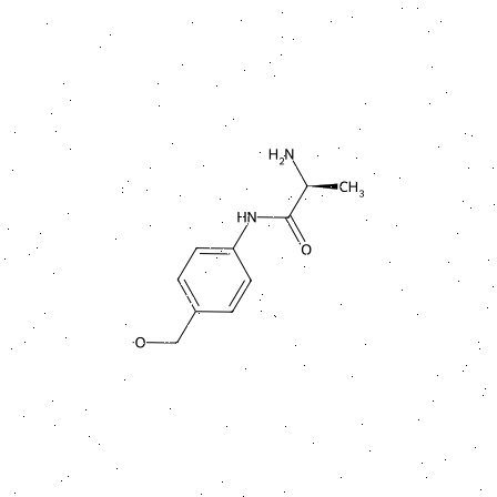 C[C@H](N)C(=O)Nc1ccc(C[O])cc1